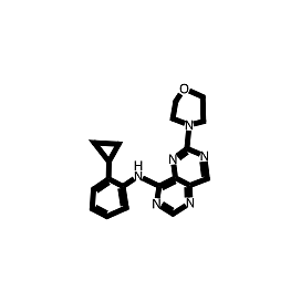 c1ccc(C2CC2)c(Nc2ncnc3cnc(N4CCOCC4)nc23)c1